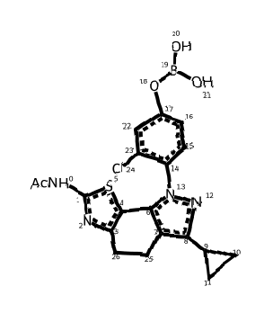 CC(=O)Nc1nc2c(s1)-c1c(c(C3CC3)nn1-c1ccc(OB(O)O)cc1Cl)CC2